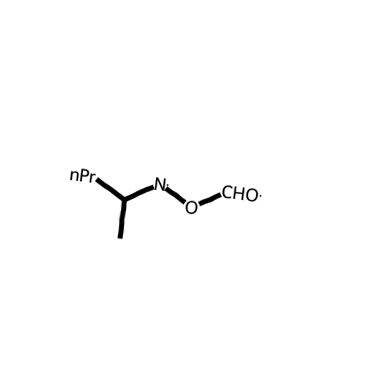 CCCC(C)[N]O[C]=O